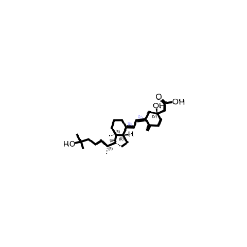 C=C1CC[C@@](O)(CC(=O)O)C/C1=C/C=C1\CCC[C@]2(C)[C@@H]([C@H](C)CCCC(C)(C)O)CC[C@@H]12